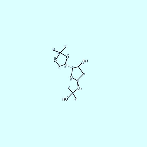 CC(C)(O)O[C@@H]1C[C@H](O)[C@@H](C2COC(C)(C)O2)O1